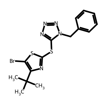 CC(C)(C)c1nc(Sc2nnnn2Cc2ccccc2)sc1Br